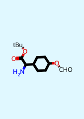 CC(C)(C)OC(=O)C(N)C1CCC(OC=O)CC1